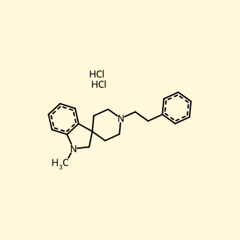 CN1CC2(CCN(CCc3ccccc3)CC2)c2ccccc21.Cl.Cl